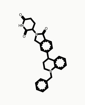 O=C1CCC(N2Cc3cc(C4CCN(Cc5ccccc5)c5ccccc54)ccc3C2=O)C(=O)N1